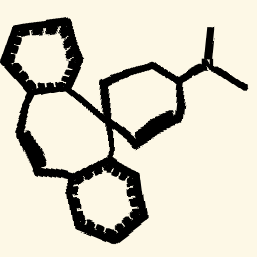 CN(C)C1C=CC2(CC1)c1ccccc1C=Cc1ccccc12